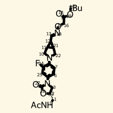 CC(=O)NC[C@H]1CN(c2ccc(N3CC4C(C=NOCC(=O)OC(C)(C)C)C4C3)c(F)c2)C(=O)O1